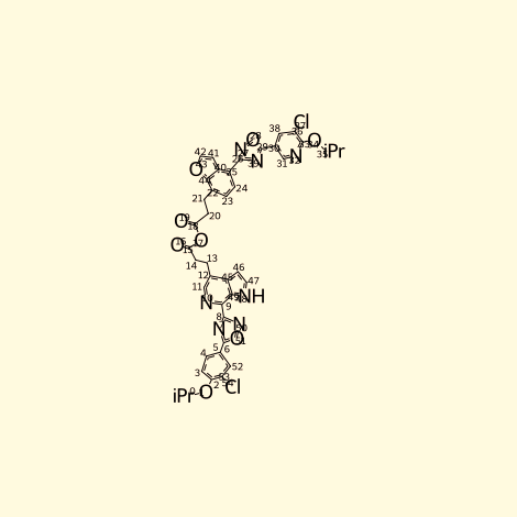 CC(C)Oc1ccc(-c2nc(-c3ncc(CCC(=O)OC(=O)CCc4ccc(-c5noc(-c6cnc(OC(C)C)c(Cl)c6)n5)c5ccoc45)c4cc[nH]c34)no2)cc1Cl